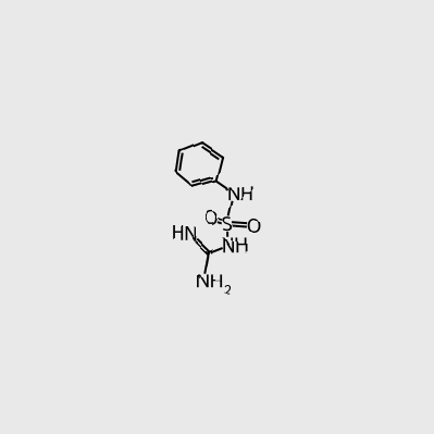 N=C(N)NS(=O)(=O)Nc1ccccc1